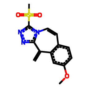 C=C1c2cc(OC)ccc2C=Cn2c1nnc2S(C)(=O)=O